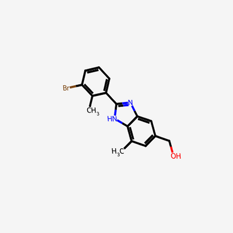 Cc1c(Br)cccc1-c1nc2cc(CO)cc(C)c2[nH]1